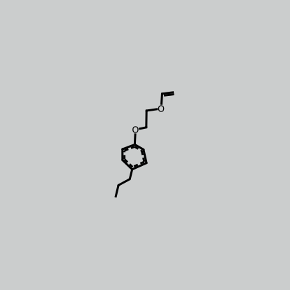 C=COCCOc1ccc(CCC)cc1